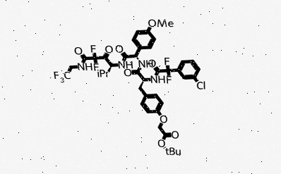 COc1ccc([C@H](NC(=O)[C@H](Cc2ccc(OCC(=O)OC(C)(C)C)cc2)NC(=O)C(F)(F)c2cccc(Cl)c2)C(=O)N[C@H](C(=O)C(F)(F)C(=O)NCC(F)(F)F)C(C)C)cc1